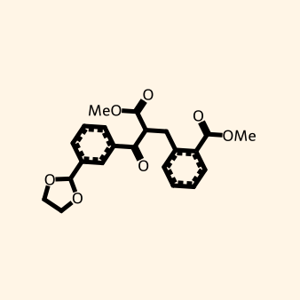 COC(=O)c1ccccc1CC(C(=O)OC)C(=O)c1cccc(C2OCCO2)c1